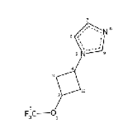 FC(F)(F)OC1CC(n2c[c]nc2)C1